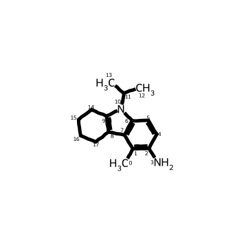 Cc1c(N)ccc2c1c1c(n2C(C)C)CCCC1